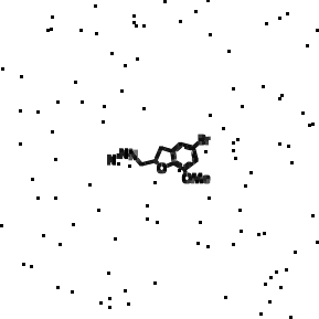 COc1cc(Br)cc2c1OC(CN=[N+]=[N-])C2